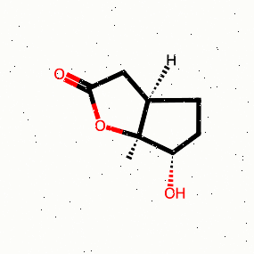 C[C@]12OC(=O)C[C@H]1CC[C@@H]2O